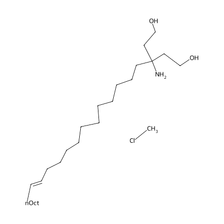 CCCCCCCCC=CCCCCCCCCCCCC(N)(CCO)CCO.CCl